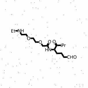 CCNCCOCCOCC(=O)NC(CCCC=O)C(=O)C(C)C